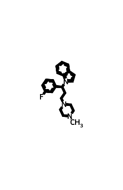 CN1CCN(CCC(c2cccc(F)c2)n2ccc3ccccc32)CC1